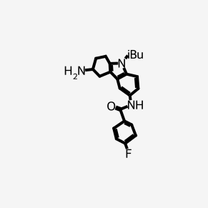 CCC(C)n1c2c(c3cc(NC(=O)c4ccc(F)cc4)ccc31)CC(N)CC2